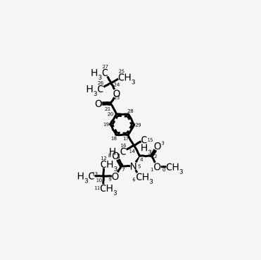 COC(=O)[C@@H](N(C)C(=O)OC(C)(C)C)C(C)(C)c1ccc(C(=O)OC(C)(C)C)cc1